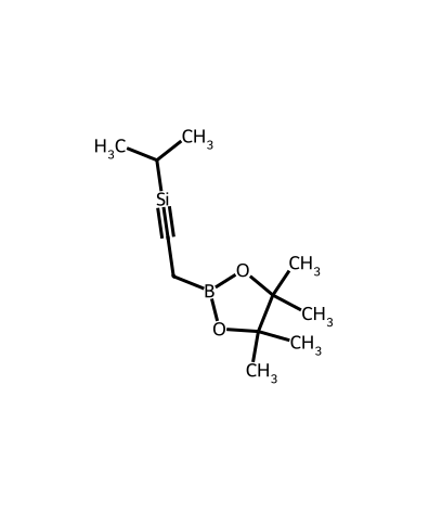 CC(C)[Si]#CCB1OC(C)(C)C(C)(C)O1